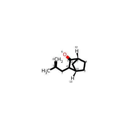 C=C(C)CC1C(=O)[C@@H]2CC[C@H]1C2